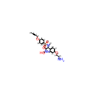 CC#CCOc1ccc(S(=O)(=O)N(C)C(C(=O)NO)c2ccc(OCCN)cc2)cc1